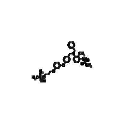 Cc1c(NS(C)(=O)=O)cccc1N(Cc1ccccc1)Cc1ccc(Oc2cccc(OCCCO[Si](C)(C)C(C)(C)C)c2)cc1